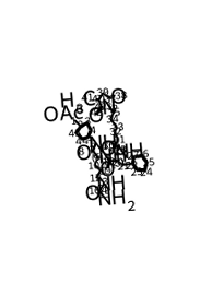 CC(=O)OCc1ccc(NC(=O)[C@H](CCCNC(N)=O)NC(=O)[C@H](Cc2ccccc2)NC(=O)CCCCCN2C(=O)CC(C)C2=O)cc1